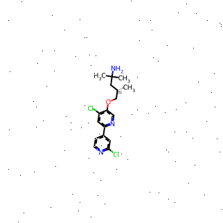 C[C@H](COc1cnc(-c2ccnc(Cl)c2)cc1Cl)CC(C)(C)N